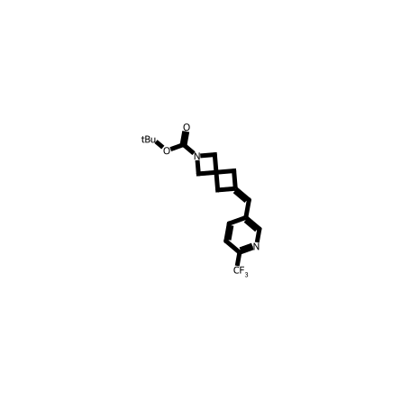 CC(C)(C)OC(=O)N1CC2(CC(=Cc3ccc(C(F)(F)F)nc3)C2)C1